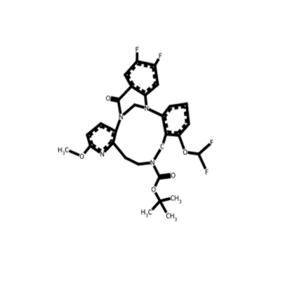 COc1ccc2c(n1)CCN(C(=O)OC(C)(C)C)Cc1c(OC(F)F)cccc1N1CN2C(=O)c2cc(F)c(F)cc21